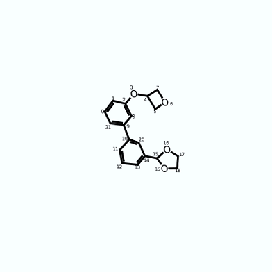 c1cc(OC2COC2)cc(-c2cccc(C3OCCO3)c2)c1